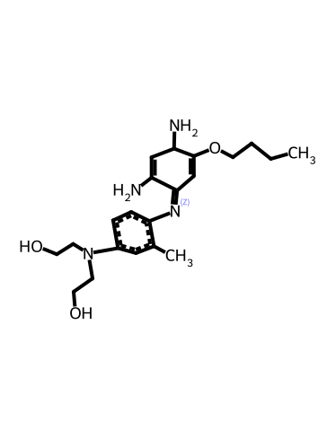 CCCCOC1=C/C(=N/c2ccc(N(CCO)CCO)cc2C)C(N)=CC1N